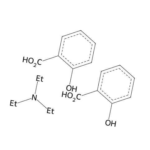 CCN(CC)CC.O=C(O)c1ccccc1O.O=C(O)c1ccccc1O